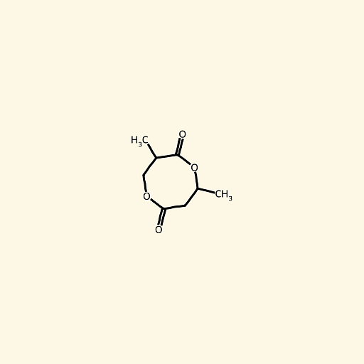 CC1CC(=O)OCC(C)C(=O)O1